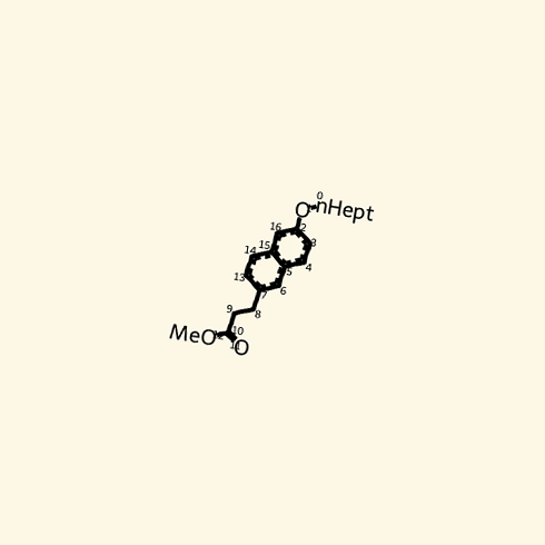 CCCCCCCOc1ccc2cc(CCC(=O)OC)ccc2c1